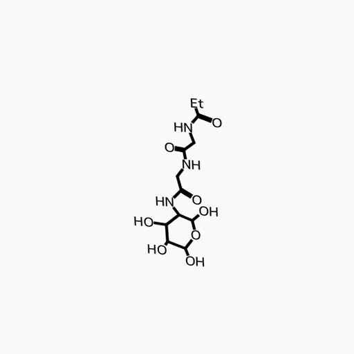 CCC(=O)NCC(=O)NCC(=O)NC1C(O)OC(O)C(O)C1O